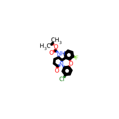 CC(C)OC(=O)NC1CCC(=O)N2c3cc(Cl)ccc3Oc3c(F)cccc3C12